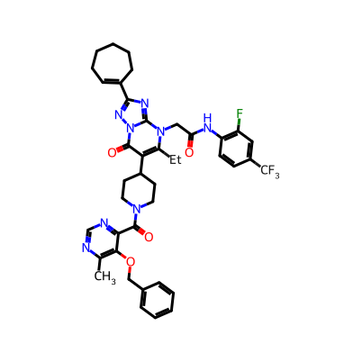 CCc1c(C2CCN(C(=O)c3ncnc(C)c3OCc3ccccc3)CC2)c(=O)n2nc(C3=CCCCCC3)nc2n1CC(=O)Nc1ccc(C(F)(F)F)cc1F